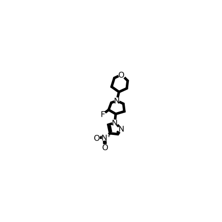 O=[N+]([O-])c1cnn(C2CCN(C3CCOCC3)CC2F)c1